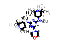 CCCCN(c1nc(N2CCOCC2)nc(N(CCCC)C2CC(C)(C)NC(C)(C)C2)n1)C1CC(C)(C)NC(C)(C)C1